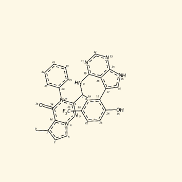 Cc1ccn2nc(C(C)Nc3ncnc4[nH]cc(-c5cc(C(F)(F)F)ccc5O)c34)n(-c3ccccc3)c(=O)c12